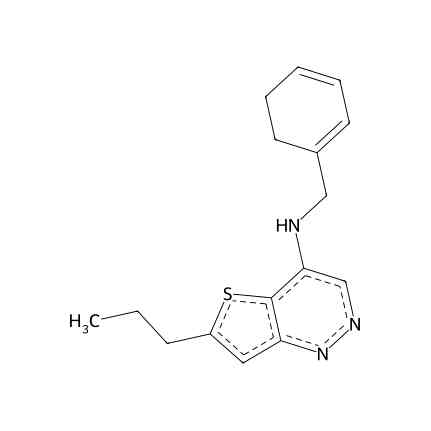 CCCc1cc2nncc(NCC3=CC=CCC3)c2s1